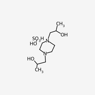 CC(O)CN1CCN(CC(C)O)CC1.O=S(=O)(O)O